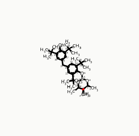 CCC(C)OB(Oc1c(C(C)(C)C)cc(Cc2cc(C(C)(C)C)c(O)c(C(C)(C)C)c2)cc1C(C)(C)C)OC(C)CC